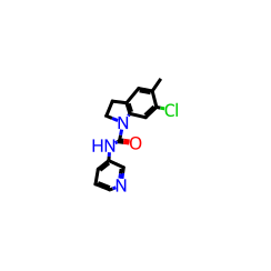 Cc1cc2c(cc1Cl)N(C(=O)Nc1cccnc1)CC2